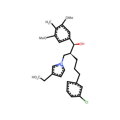 COc1cc([C@@H](O)[C@@H](CCCc2cccc(Cl)c2)Cn2ccc(CC(=O)O)c2)cc(OC)c1C